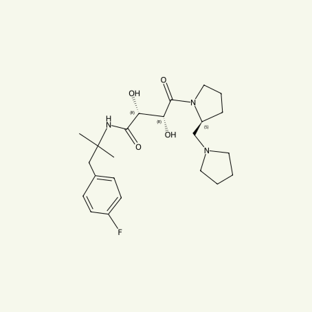 CC(C)(Cc1ccc(F)cc1)NC(=O)[C@H](O)[C@@H](O)C(=O)N1CCC[C@H]1CN1CCCC1